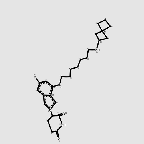 O=C1CCC(n2cc3cc(F)cc(SCCCCCCCNC4CC5(CCC5)C4)c3c2)C(=O)N1